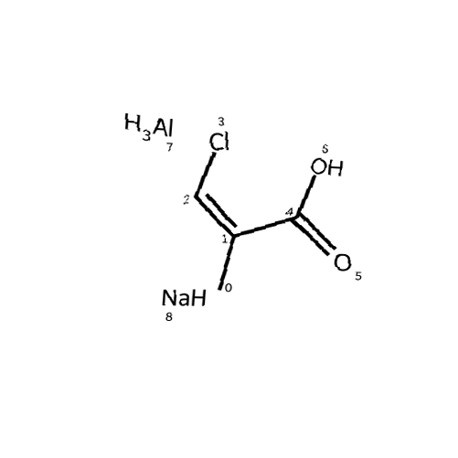 CC(=CCl)C(=O)O.[AlH3].[NaH]